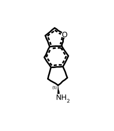 N[C@H]1Cc2cc3ccoc3cc2C1